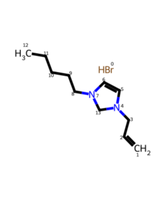 Br.C=CCN1C=CN(CCCCC)C1